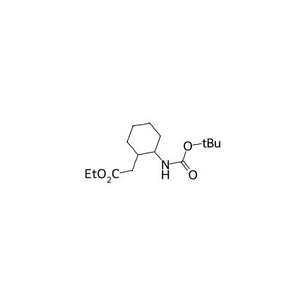 CCOC(=O)CC1CCCCC1NC(=O)OC(C)(C)C